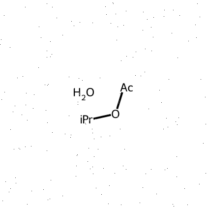 CC(=O)OC(C)C.O